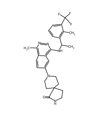 Cc1c(C(C)Nc2nnc(C)c3ccc(N4CCC5(CCNC5=O)CC4)cc23)cccc1C(F)(F)F